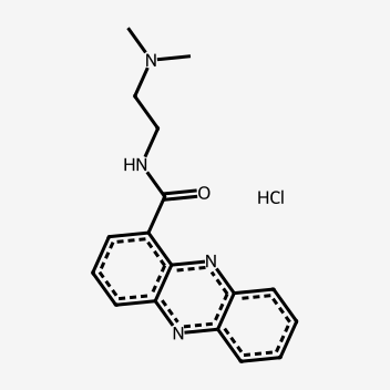 CN(C)CCNC(=O)c1cccc2nc3ccccc3nc12.Cl